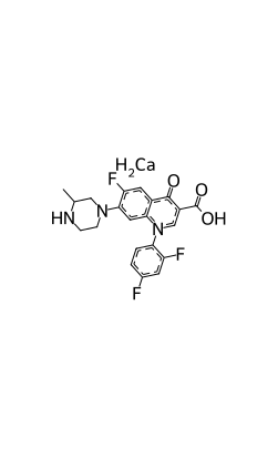 CC1CN(c2cc3c(cc2F)c(=O)c(C(=O)O)cn3-c2ccc(F)cc2F)CCN1.[CaH2]